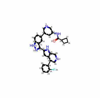 O=C(Nc1cncc(-c2ccc3[nH]nc(-c4cc5c(-c6ccccc6F)cncc5[nH]4)c3c2)c1)C1CCC1